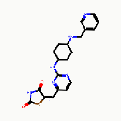 O=C1NC(=O)/C(=C\c2ccnc(NC3CCC(NCc4cccnc4)CC3)n2)S1